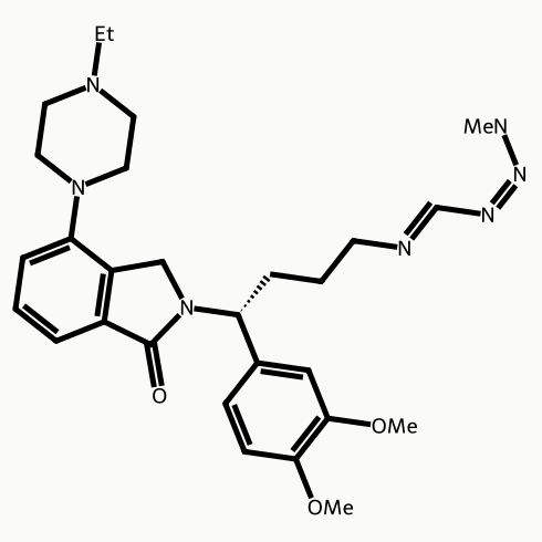 CCN1CCN(c2cccc3c2CN([C@H](CCC/N=C/N=N\NC)c2ccc(OC)c(OC)c2)C3=O)CC1